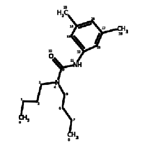 CCCCN(CCCC)C(=O)Nc1cc(C)cc(C)c1